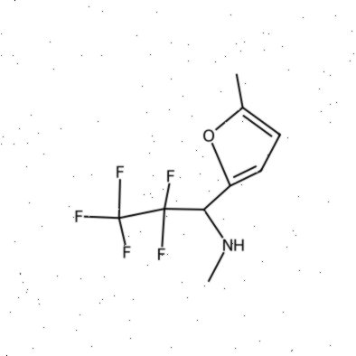 CNC(c1ccc(C)o1)C(F)(F)C(F)(F)F